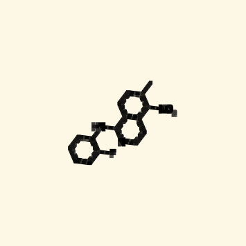 Cc1ccc2c(Nc3ccccc3F)nccc2c1[N+](=O)[O-]